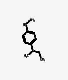 CCN(C)c1ccc(NC)cc1